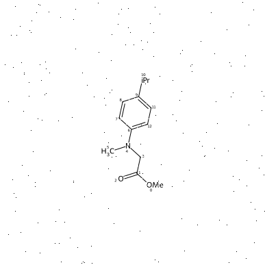 COC(=O)CN(C)c1ccc(C(C)C)cc1